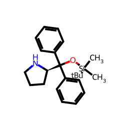 CC(C)(C)[Si](C)(C)OC(c1ccccc1)(c1ccccc1)[C@H]1CCCN1